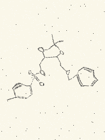 Cc1ccc(S(=O)(=O)OCC2OC(C)(C)OC2COCc2ccccc2)cc1